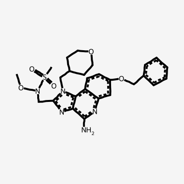 CON(Cc1nc2c(N)nc3cc(OCc4ccccc4)ccc3c2n1CC1CCOCC1)S(C)(=O)=O